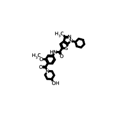 COc1cc(NC(=O)c2cc3c(C)nn(C4CCCCC4)c3s2)ccc1C(=O)N1CCC(O)CC1